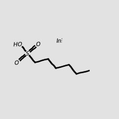 CCCCCCS(=O)(=O)O.[In]